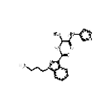 CC(C)(C)C(NC(=O)c1nn(CCCN)c2ccccc12)C(=O)Nc1cnoc1